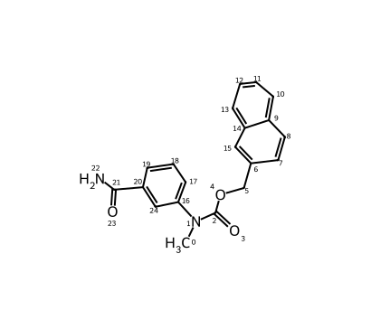 CN(C(=O)OCc1ccc2ccccc2c1)c1cccc(C(N)=O)c1